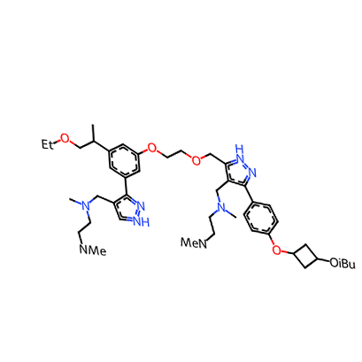 CCOCC(C)c1cc(OCCOCc2[nH]nc(-c3ccc(OC4CC(OCC(C)C)C4)cc3)c2CN(C)CCNC)cc(-c2n[nH]cc2CN(C)CCNC)c1